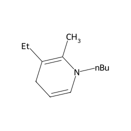 CCCCN1C=CCC(CC)=C1C